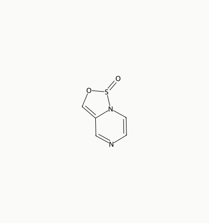 O=S1OC=C2C=NC=CN21